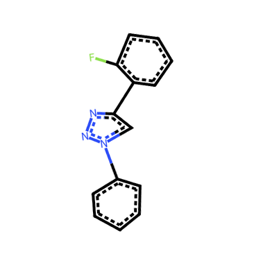 Fc1ccccc1-c1cn(-c2ccccc2)nn1